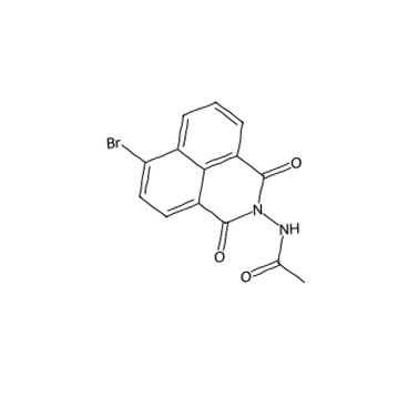 CC(=O)NN1C(=O)c2cccc3c(Br)ccc(c23)C1=O